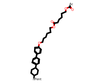 CCCCCC1CCC(c2ccc(-c3ccc(OCCCCCCOC(=O)CCCCCOC(=O)C(C)=O)cc3)cc2)CC1